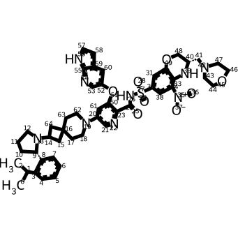 CC(C)c1ccccc1[C@@H]1CCCN1C1CC2(CCN(c3cnc(C(=O)NS(=O)(=O)c4cc5c(c([N+](=O)[O-])c4)N[C@@H](CN4CCOCC4)CO5)c(Oc4cnc5[nH]ccc5c4)c3)CC2)C1